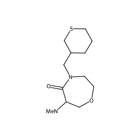 CNC1COCCN(CC2CCCSC2)C1=O